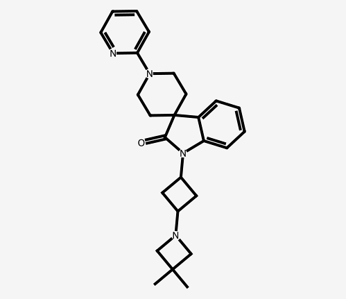 CC1(C)CN(C2CC(N3C(=O)C4(CCN(c5ccccn5)CC4)c4ccccc43)C2)C1